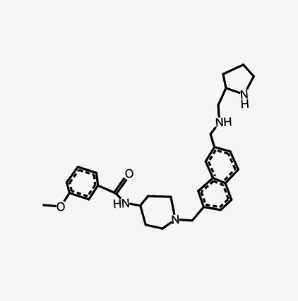 COc1cccc(C(=O)NC2CCN(Cc3ccc4ccc(CNCC5CCCN5)cc4c3)CC2)c1